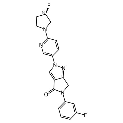 O=C1c2cn(-c3ccc(N4CC[C@@H](F)C4)nc3)nc2CN1c1cccc(F)c1